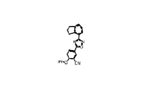 CC(C)OC1CC=C(c2nc(-c3cccc4c3CCC4)no2)C=C1C#N